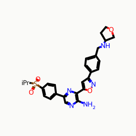 CC(C)S(=O)(=O)c1ccc(-c2cnc(N)c(-c3cc(-c4ccc(CNC5CCOC5)cc4)no3)n2)cc1